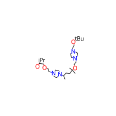 CC(C)C(=O)COCCN1CCN(C(C)CCC(C)(C)OCCN2CCN(CCOC(C)(C)C)CC2)CC1